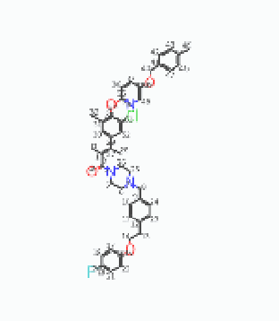 CC(C(=O)N1CCN(Cc2ccc(CCOc3ccc(F)cc3)cc2)CC1)=C(C)c1cc(C)c(Oc2ccc(OCc3ccc(C)cc3)cn2)c(Cl)c1